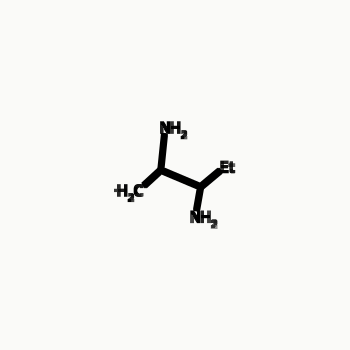 [CH2]C(N)C(N)CC